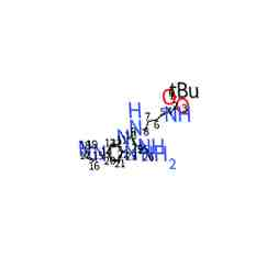 CC(C)(C)OC(=O)NCCCCNc1nc2cc(-n3ccnc3)ccc2nc1NN